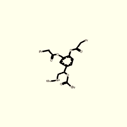 CC(C)CC(=O)Oc1ccc(C(CNC(C)(C)C)OC(=O)C(C)(C)C)cc1OC(=O)CC(C)C